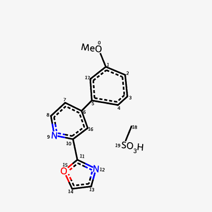 COc1cccc(-c2ccnc(-c3ncco3)c2)c1.CS(=O)(=O)O